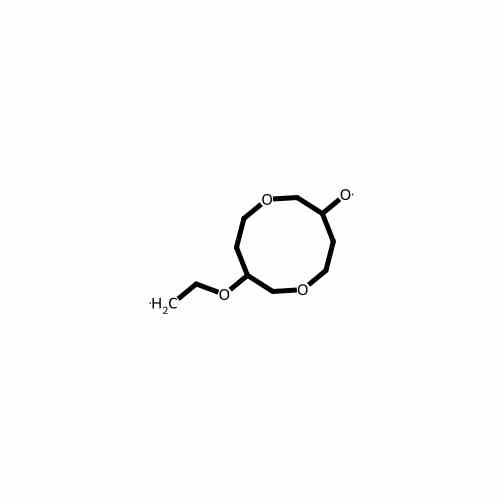 [CH2]COC1CCOCC([O])CCOC1